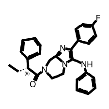 CC[C@@H](C(=O)N1CCn2c(nc(-c3ccc(F)cc3)c2Nc2ccccc2)C1)c1ccccc1